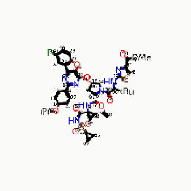 C=C[C@@H]1C[C@]1(NC(=O)[C@@H]1C[C@@H](Oc2nc(-c3ccc(OC(C)C)cc3)nc3c2oc2ccc(F)cc23)CN1C(=O)[C@@H](Nc1nc(C(=O)OC)cs1)C(C)(C)C)C(=O)NS(=O)(=O)C1CC1